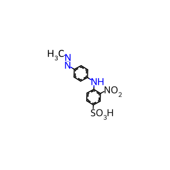 C/N=N/c1ccc(Nc2ccc(S(=O)(=O)O)cc2[N+](=O)[O-])cc1